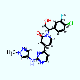 Cn1cc(Nc2nccc(-c3ccn(C(CO)c4ccc(Cl)c(F)c4)c(=O)c3)n2)cn1